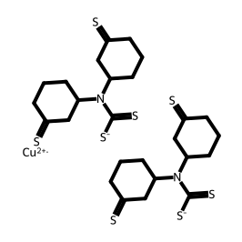 S=C1CCCC(N(C(=S)[S-])C2CCCC(=S)C2)C1.S=C1CCCC(N(C(=S)[S-])C2CCCC(=S)C2)C1.[Cu+2]